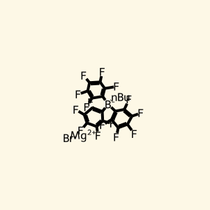 CCCC[B-](c1c(F)c(F)c(F)c(F)c1F)(c1c(F)c(F)c(F)c(F)c1F)c1c(F)c(F)c(F)c(F)c1F.[Br-].[Mg+2]